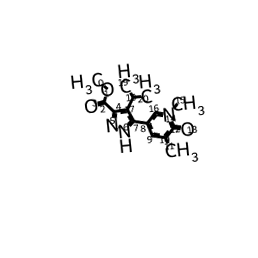 COC(=O)c1n[nH]c(-c2cc(C)c(=O)n(C)c2)c1C(C)C